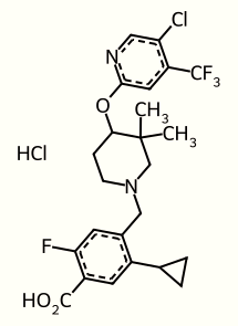 CC1(C)CN(Cc2cc(F)c(C(=O)O)cc2C2CC2)CCC1Oc1cc(C(F)(F)F)c(Cl)cn1.Cl